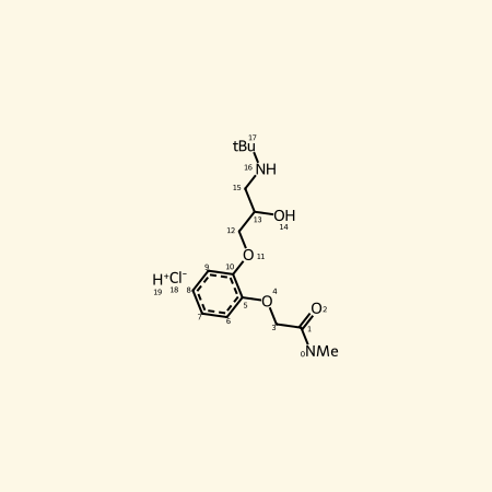 CNC(=O)COc1ccccc1OCC(O)CNC(C)(C)C.[Cl-].[H+]